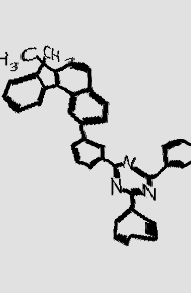 CC1(C)c2ccccc2-c2c1ccc1ccc(-c3cccc(-c4nc(-c5ccccc5)nc(-c5ccccc5)n4)c3)cc21